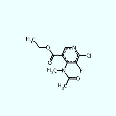 CCOC(=O)c1cnc(Cl)c(F)c1N(C)C(C)=O